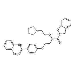 Nc1ccccc1NC(=O)c1ccc(OCCN(OCCN2CCCC2)C(=O)c2cc3ccccc3o2)cc1